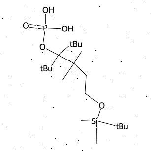 CC(C)(C)C(OP(=O)(O)O)(C(C)(C)C)C(C)(C)CCO[Si](C)(C)C(C)(C)C